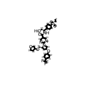 CCS(=O)(=O)c1ccc([C@H](CO)NC(=O)c2cnc(N3C[C@H](Oc4ccc(C(F)(F)F)cc4)C[C@H]3COC3CCOC3)nc2)cc1